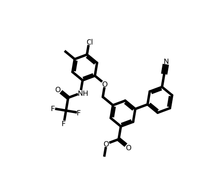 COC(=O)c1cc(COc2cc(Cl)c(C)cc2NC(=O)C(F)(F)F)cc(-c2cccc(C#N)c2)c1